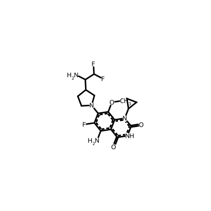 COc1c(N2CCC(C(N)C(F)F)C2)c(F)c(N)c2c(=O)[nH]c(=O)n(C3CC3)c12